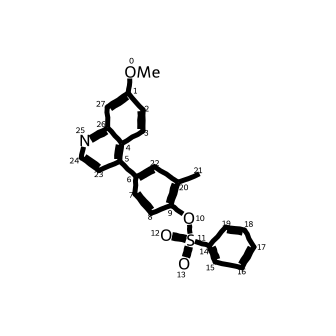 COc1ccc2c(-c3ccc(OS(=O)(=O)c4ccccc4)c(C)c3)ccnc2c1